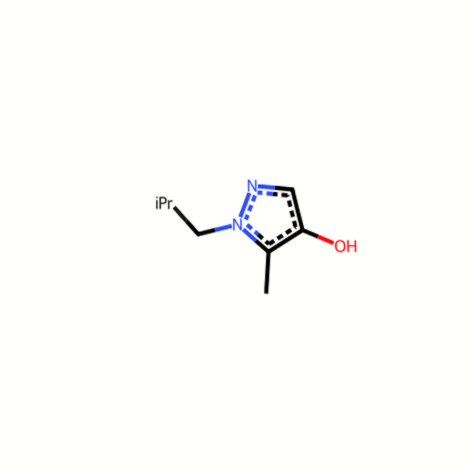 Cc1c(O)cnn1CC(C)C